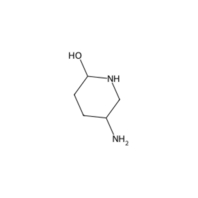 NC1CCC(O)NC1